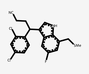 CSCc1cc(F)cc2c(C(CCC#N)c3ccc(Cl)cc3Cl)c[nH]c12